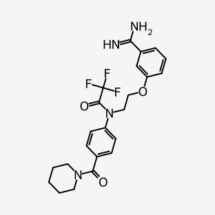 N=C(N)c1cccc(OCCN(C(=O)C(F)(F)F)c2ccc(C(=O)N3CCCCC3)cc2)c1